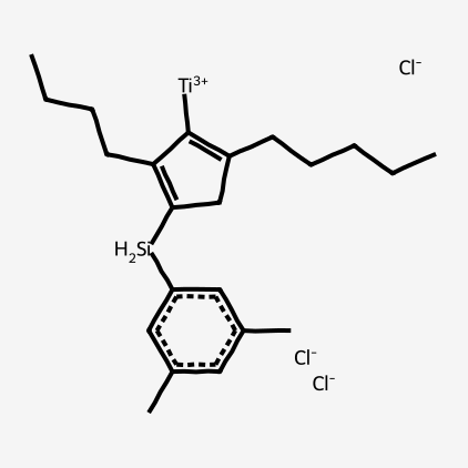 CCCCCC1=[C]([Ti+3])C(CCCC)=C([SiH2]c2cc(C)cc(C)c2)C1.[Cl-].[Cl-].[Cl-]